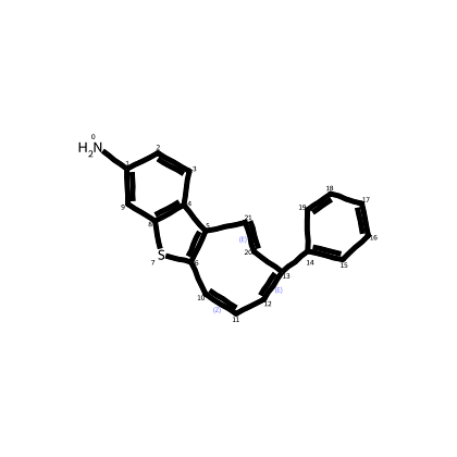 Nc1ccc2c3c(sc2c1)\C=C/C=C(c1ccccc1)\C=C\3